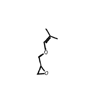 CC(C)=COCC1CO1